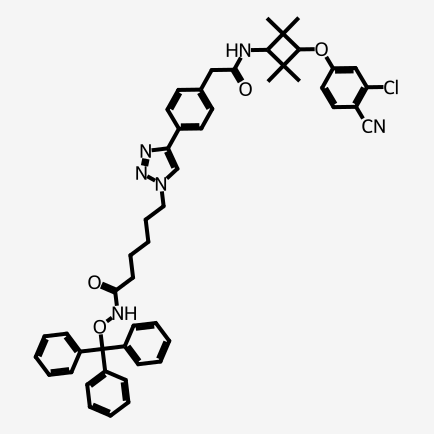 CC1(C)C(NC(=O)Cc2ccc(-c3cn(CCCCCC(=O)NOC(c4ccccc4)(c4ccccc4)c4ccccc4)nn3)cc2)C(C)(C)C1Oc1ccc(C#N)c(Cl)c1